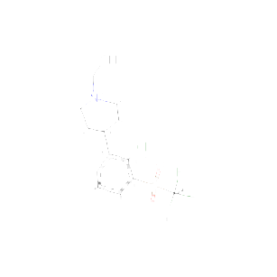 CCN1CCC(c2cccc(S(=O)(=O)C(F)(F)F)c2Cl)CC1